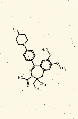 CCC1(C)Cc2cc(OC)c(OC)cc2C(c2ccc(N3CCN(C)CC3)cc2)=NN1C(=O)O